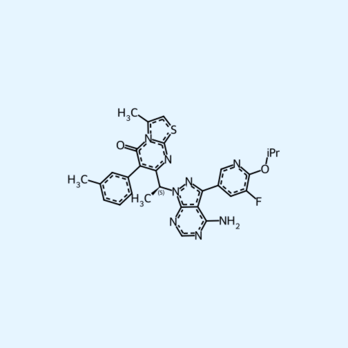 Cc1cccc(-c2c([C@H](C)n3nc(-c4cnc(OC(C)C)c(F)c4)c4c(N)ncnc43)nc3scc(C)n3c2=O)c1